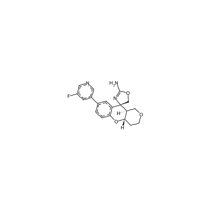 NC1=N[C@@]2(CO1)c1cc(-c3cncc(F)c3)ccc1O[C@H]1CCOC[C@@H]12